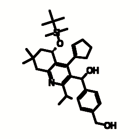 CC(C)c1nc2c(c(C3=CCCC3)c1C(O)c1ccc(CO)cc1)[C@@H](O[Si](C)(C)C(C)(C)C)CC(C)(C)C2